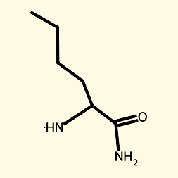 CCCCC([NH])C(N)=O